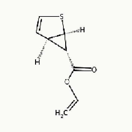 C=COC(=O)[C@@H]1[C@H]2C=CS[C@H]21